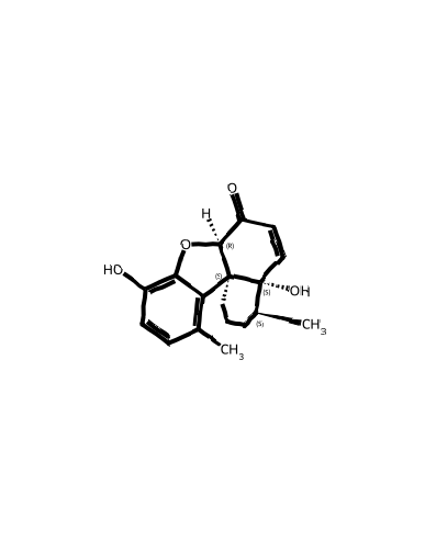 Cc1ccc(O)c2c1[C@]13CCC[C@H](C)[C@]1(O)C=CC(=O)[C@@H]3O2